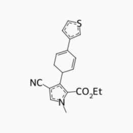 CCOC(=O)c1c(C2C=CC(c3ccsc3)=CC2)c(C#N)cn1C